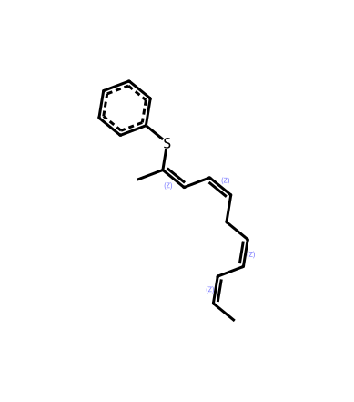 C/C=C\C=C/C/C=C\C=C(\C)Sc1ccccc1